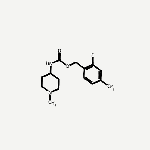 CN1CCC(NC(=O)OCc2ccc(C(F)(F)F)cc2F)CC1